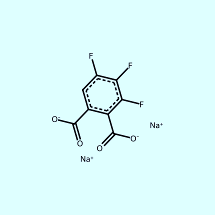 O=C([O-])c1cc(F)c(F)c(F)c1C(=O)[O-].[Na+].[Na+]